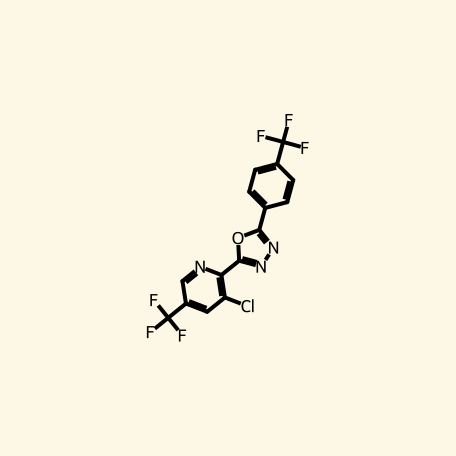 FC(F)(F)c1ccc(-c2nnc(-c3ncc(C(F)(F)F)cc3Cl)o2)cc1